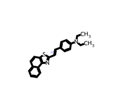 CCN(CC)c1ccc(/C=C/c2nc3c(ccc4ccccc43)s2)cc1